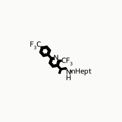 CCCCCCCNCC(C)c1ccc(-c2ccc(C(F)(F)F)cc2)nc1C(F)(F)F